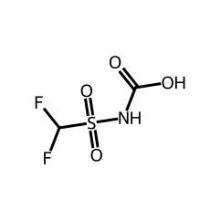 O=C(O)NS(=O)(=O)C(F)F